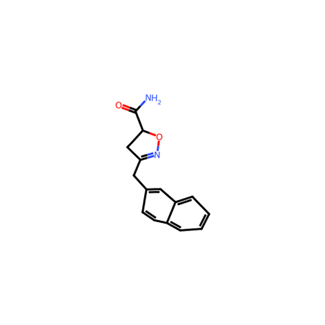 NC(=O)C1CC(Cc2ccc3ccccc3c2)=NO1